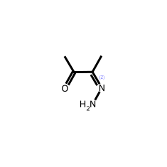 CC(=O)/C(C)=N\N